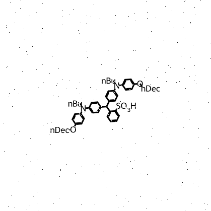 CCCCCCCCCCOc1ccc(N(CCCC)c2ccc(C(c3ccc(N(CCCC)c4ccc(OCCCCCCCCCC)cc4)cc3)c3ccccc3S(=O)(=O)O)cc2)cc1